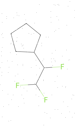 FC(F)C(F)C1CCCC1